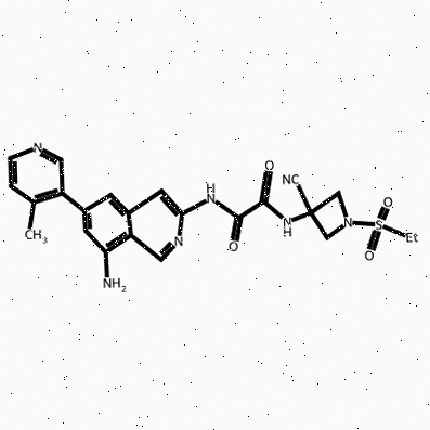 CCS(=O)(=O)N1CC(C#N)(NC(=O)C(=O)Nc2cc3cc(-c4cnccc4C)cc(N)c3cn2)C1